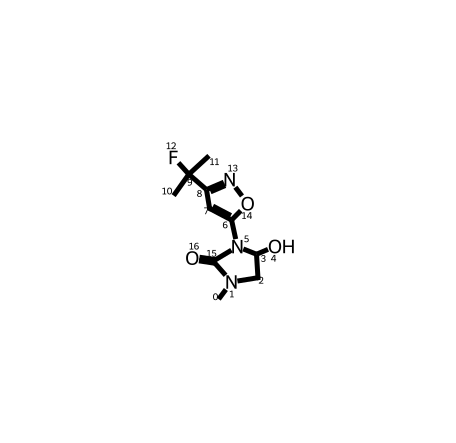 CN1CC(O)N(c2cc(C(C)(C)F)no2)C1=O